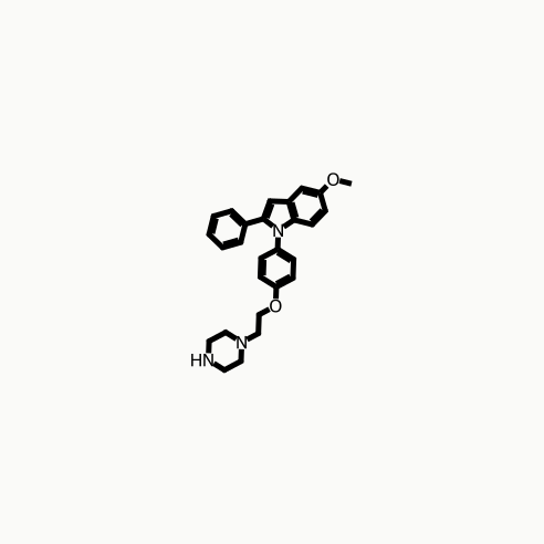 COc1ccc2c(c1)cc(-c1ccccc1)n2-c1ccc(OCCN2CCNCC2)cc1